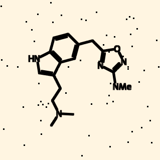 CNc1noc(Cc2ccc3[nH]cc(CCN(C)C)c3c2)n1